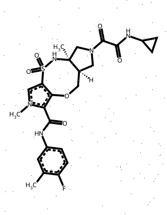 Cc1cc(NC(=O)c2c3c(cn2C)S(=O)(=O)N[C@@]2(C)CN(C(=O)C(=O)NC4CC4)C[C@H]2CO3)ccc1F